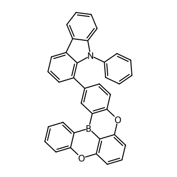 c1ccc(-n2c3ccccc3c3cccc(-c4ccc5c(c4)B4c6ccccc6Oc6cccc(c64)O5)c32)cc1